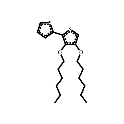 CCCCCCOc1csc(-c2cccs2)c1OCCCCCC